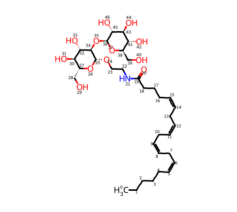 CCCCC/C=C\C/C=C\C/C=C\C/C=C\CCCC(=O)NCCO[C@@H]1O[C@H](CO)[C@@H](O)[C@H](O)[C@H]1O[C@@H]1O[C@H](CO)[C@@H](O)[C@H](O)[C@H]1O